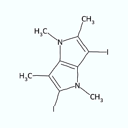 Cc1c(I)n(C)c2c(I)c(C)n(C)c12